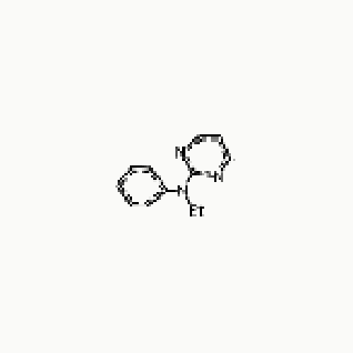 CCN(c1ccccc1)c1n[c]ccn1